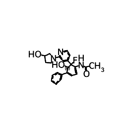 CC(=O)NC1=CC=C(c2ccccc2)[C@@H](O)C1(F)c1ccnc(N2CCC(O)C2)c1